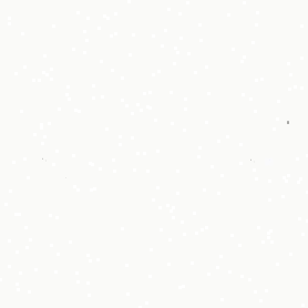 CCC/C=N\c1cc(-c2ccc(C(=O)N(CC)CC)cc2)ccc1C